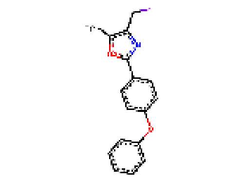 Cc1oc(-c2ccc(Oc3ccccc3)cc2)nc1CI